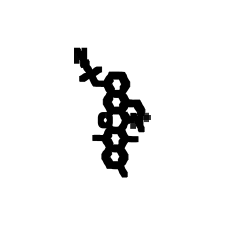 Cc1ccc2c(C)c3c(c(C)c2c1)-c1c2c(cc4c(CC(C)(C)C#N)cccc4c2cc[n+]1C)O3